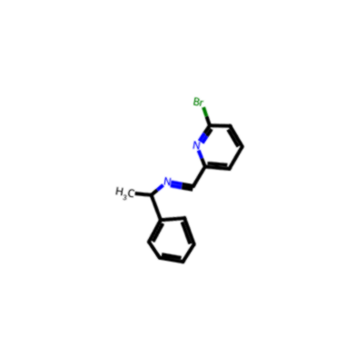 CC(/N=C/c1cccc(Br)n1)c1ccccc1